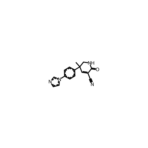 CC1(c2ccc(-n3ccnc3)cc2)C=C(C#N)C(=O)NC1